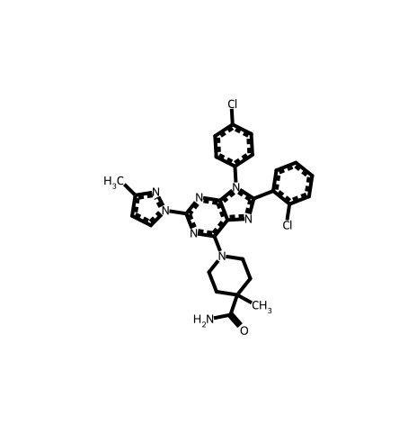 Cc1ccn(-c2nc(N3CCC(C)(C(N)=O)CC3)c3nc(-c4ccccc4Cl)n(-c4ccc(Cl)cc4)c3n2)n1